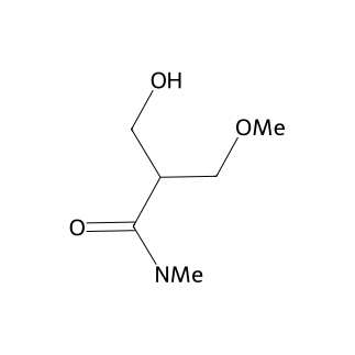 CNC(=O)C(CO)COC